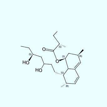 CC[C@H](O)CC(O)CC[C@@H]1C2C(=C[C@H](C)C[C@@H]2OC(=O)[C@@H](C)CC)C=C[C@@H]1C